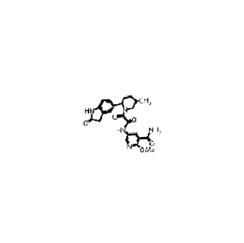 COc1ncc(NC(=O)C(=O)N2C[C@@H](C)CCC2c2ccc3c(c2)CC(=O)N3)cc1C(N)=O